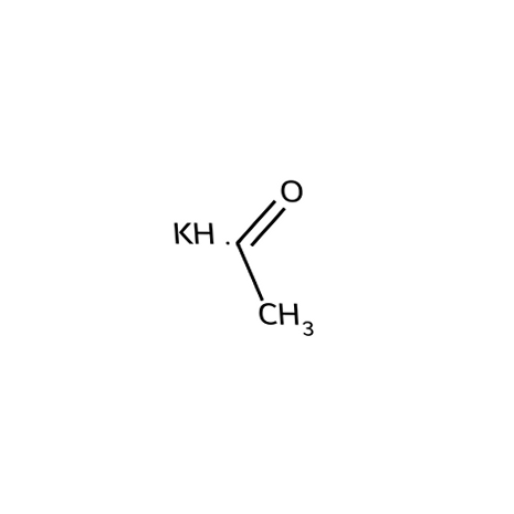 C[C]=O.[KH]